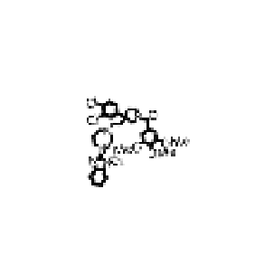 CCn1c(N2CCCN(CCC3(c4ccc(Cl)c(Cl)c4)CCN(C(=O)c4cc(OC)c(OC)c(OC)c4)C3)CC2)nc2ccccc21